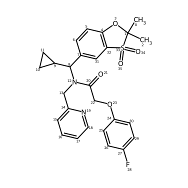 CC1(C)Oc2ccc(C(C3CC3)N(Cc3ccccn3)C(=O)COc3ccc(F)cc3)cc2S1(=O)=O